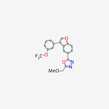 COCc1nnc(-c2ccc3occ(-c4cccc(OC(F)(F)F)c4)c3c2)o1